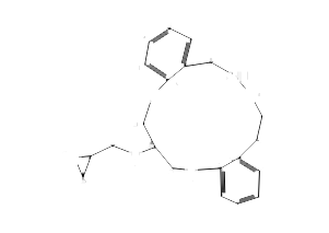 c1ccc2c(c1)CCCNCc1ccccc1OCC(OCC1CO1)CO2